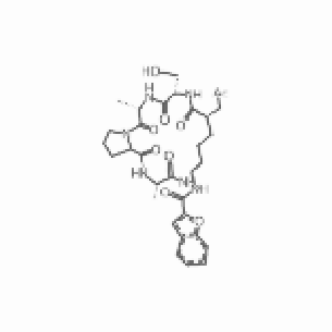 CC(=O)C[C@@H](CCCCNC(=O)c1cc2ccccc2o1)C(=O)N[C@@H](CO)C(=O)N[C@@H](C)C(=O)N1CCCC1C(=O)N[C@@H](C)C(N)=O